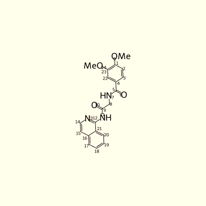 COc1ccc(C(=O)NCC(=O)Nc2nccc3ccccc23)cc1OC